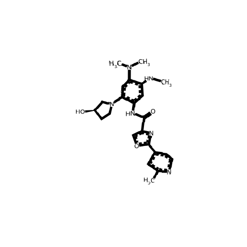 CNc1cc(NC(=O)c2coc(-c3ccnc(C)c3)n2)c(N2CC[C@@H](O)C2)cc1N(C)C